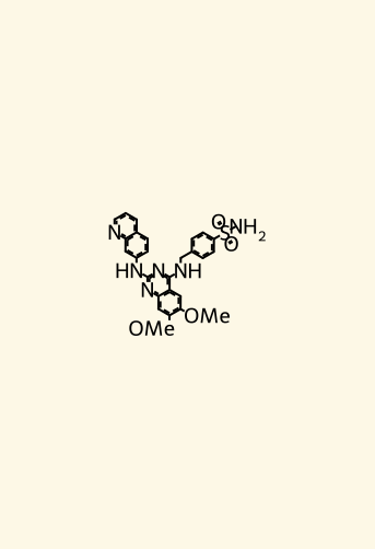 COc1cc2nc(Nc3ccc4cccnc4c3)nc(NCc3ccc(S(N)(=O)=O)cc3)c2cc1OC